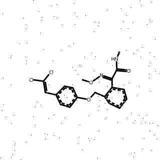 CNC(=O)/C(=N/OC)c1ccccc1COc1ccc(C=C(Cl)Cl)cc1